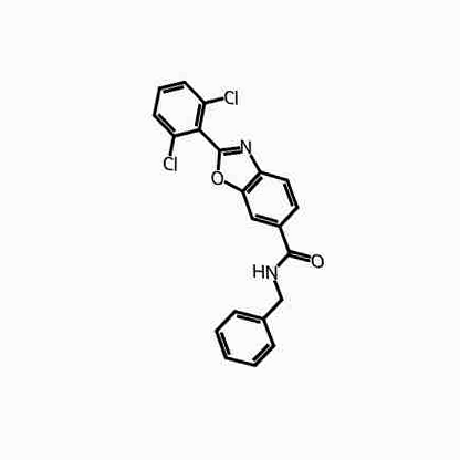 O=C(NCc1ccccc1)c1ccc2nc(-c3c(Cl)cccc3Cl)oc2c1